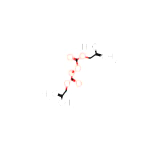 C=C(C)COC(=O)OOC(=O)OCC(=C)C